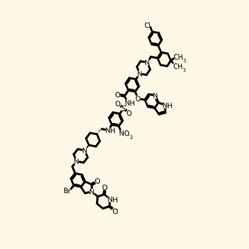 CC1(C)CCC(CN2CCN(c3ccc(C(=O)NS(=O)(=O)c4ccc(NC[C@H]5CC[C@H](N6CCN(Cc7cc(Br)c8c(c7)C(=O)N(C7CCC(=O)NC7=O)C8)CC6)CC5)c([N+](=O)[O-])c4)c(Oc4cnc5[nH]ccc5c4)c3)CC2)=C(c2ccc(Cl)cc2)C1